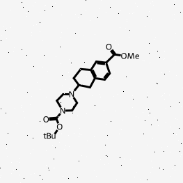 COC(=O)c1ccc2c(c1)CCC(N1CCN(C(=O)OC(C)(C)C)CC1)C2